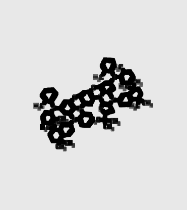 Cc1ccccc1N(c1cc2c3c(c1)N(c1ccc4c(c1)C(C)(C)CCC4(C)C)c1ccccc1B3c1cc3c(cc1O2)Oc1cc(N(c2ccccc2C)c2ccccc2C)cc2c1B3c1sc(C(C)(C)C)cc1N2c1ccc2c(c1)C(C)(C)CCC2(C)C)c1ccccc1C